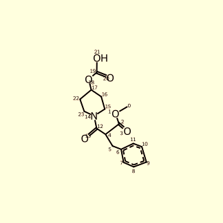 COC(=O)C(Cc1ccccc1)C(=O)N1CCC(OC(=O)O)CC1